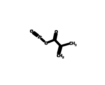 C=C(C)C(=O)[O][Zr]=[O]